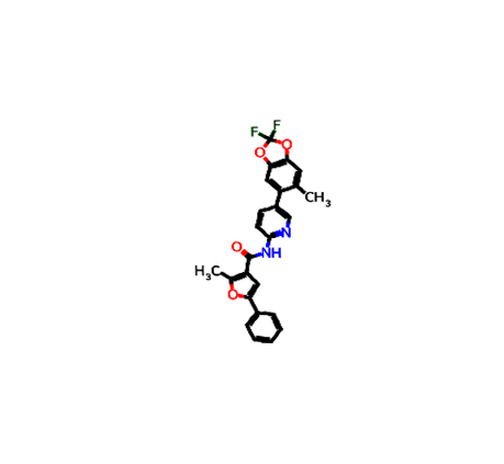 Cc1cc2c(cc1-c1ccc(NC(=O)c3cc(-c4ccccc4)oc3C)nc1)OC(F)(F)O2